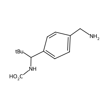 CC(C)(C)C(NC(=O)O)c1ccc(CN)cc1